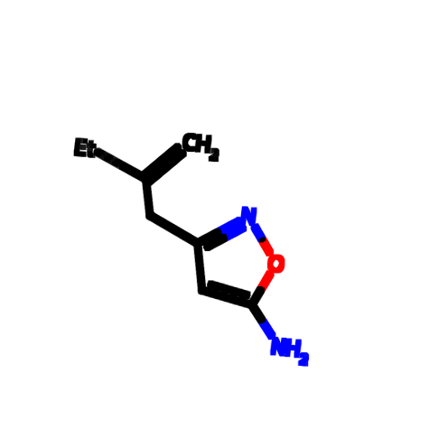 C=C(CC)Cc1cc(N)on1